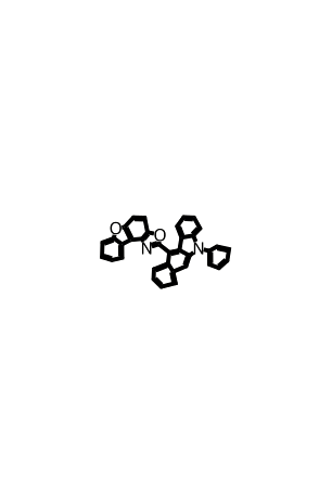 c1ccc(-n2c3ccccc3c3c(-c4nc5c(ccc6oc7ccccc7c65)o4)c4ccccc4cc32)cc1